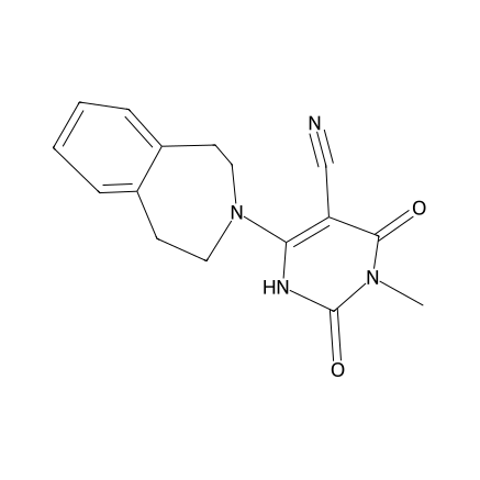 Cn1c(=O)[nH]c(N2CCc3ccccc3CC2)c(C#N)c1=O